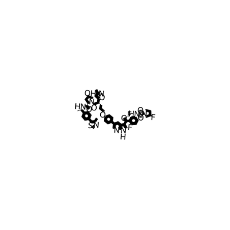 Cc1cc([C@H](CCCOc2ccc(-c3cnc4[nH]cc(C(=O)c5c(F)ccc(NS(=O)(=O)N6CC[C@@H](F)C6)c5F)c4c3)cc2)C(=O)N2C[C@H](O)C[C@H]2C(=O)N[C@@H](C)c2ccc(-c3scnc3C)cc2)on1